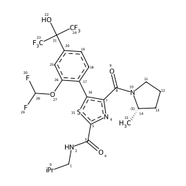 CC(C)CNC(=O)c1nc(C(=O)N2CCC[C@@H]2C)c(-c2ccc(C(O)(C(F)(F)F)C(F)(F)F)cc2OC(F)F)s1